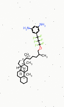 CC(CCC[C@@H](C)[C@H]1CC[C@H]2[C@@H]3CCC4CCCC[C@]4(C)[C@H]3CC[C@]12C)COC(F)(F)C(F)(F)C(F)(F)c1cc(N)cc(N)c1